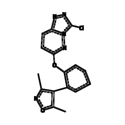 Cc1noc(C)c1-c1ccccc1Oc1ccc2nnc(Cl)n2n1